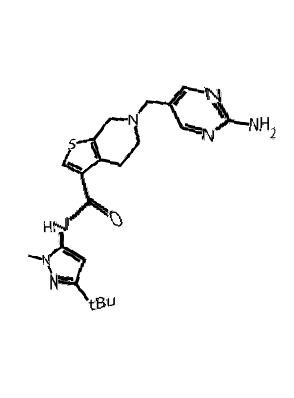 Cn1nc(C(C)(C)C)cc1NC(=O)c1csc2c1CCN(Cc1cnc(N)nc1)C2